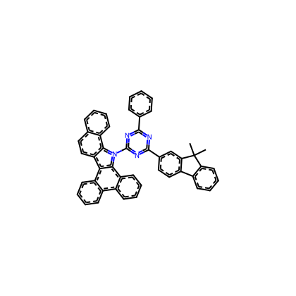 CC1(C)c2ccccc2-c2ccc(-c3nc(-c4ccccc4)nc(-n4c5c6ccccc6ccc5c5c6ccccc6c6ccccc6c54)n3)cc21